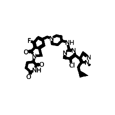 Cn1ncc(-c2nc(NC3CCN(Cc4cc(F)c5c(c4)CN(C4CCC(=O)NC4=O)C5=O)CC3)ncc2Cl)c1CC1CC1